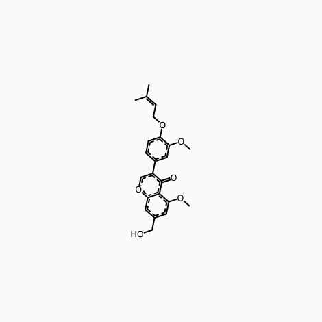 COc1cc(-c2coc3cc(CO)cc(OC)c3c2=O)ccc1OCC=C(C)C